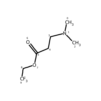 CN(C)CCC(=O)OCC(F)(F)F